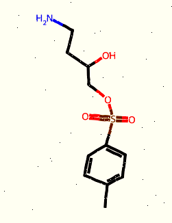 Cc1ccc(S(=O)(=O)OCC(O)CCN)cc1